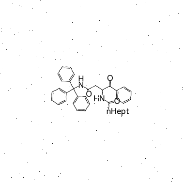 CCCCCCCC(=O)NC(CC(=O)NC(c1ccccc1)(c1ccccc1)c1ccccc1)C(=O)c1ccccc1